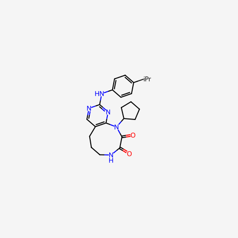 CC(C)c1ccc(Nc2ncc3c(n2)N(C2CCCC2)C(=O)C(=O)NCCC3)cc1